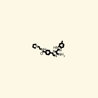 Cc1ccc2nc(-c3nc(-c4ccc(C(=O)NCCN5CCCC5)cc4)cnc3N)[nH]c2c1